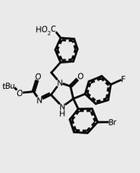 CC(C)(C)OC(=O)/N=C1/NC(c2ccc(F)cc2)(c2cccc(Br)c2)C(=O)N1Cc1cccc(C(=O)O)c1